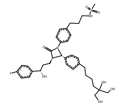 CS(=O)(=O)NCCCc1ccc(N2C(=O)[C@H](CC[C@H](O)c3ccc(F)cc3)[C@H]2c2ccc(CCCCC(O)(CO)CO)cc2)cc1